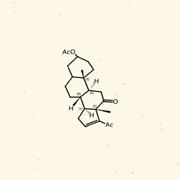 CC(=O)OC1CC[C@@]2(C)C(CC[C@H]3[C@@H]4CC=C(C(C)=O)[C@@]4(C)C(=O)C[C@@H]32)C1